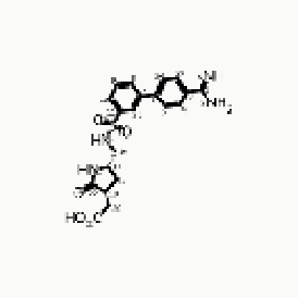 N=C(N)c1ccc(-c2cccc(S(=O)(=O)NC[C@@H]3C[C@@H](CC(=O)O)C(=O)N3)c2)cc1